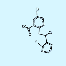 O=[N+]([O-])c1cc(Cl)ccc1C[C](Cl)c1ccccc1F